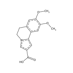 COc1cc2c(cc1OC)-c1cc(C(=O)O)cn1CC2